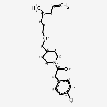 C=CCN(C)CCCOCC1CCN(C(=O)Cc2ccc(Cl)cc2)CC1